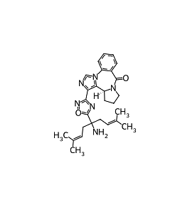 CC(C)=CCC(N)(CC=C(C)C)c1nc(-c2ncn3c2[C@@H]2CCCN2C(=O)c2ccccc2-3)no1